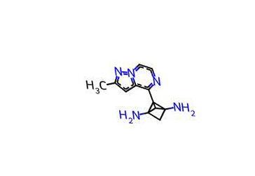 Cc1cc2c(C3C4(N)CC3(N)C4)nccn2n1